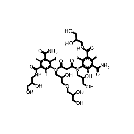 Cc1c(C(N)=O)c(I)c(N(CC(O)COCC(O)CO)C(=O)CC(=O)N(CC(O)CO)c2c(C)c(C(N)=O)c(I)c(C(=O)NCC(O)CO)c2I)c(I)c1C(=O)NCC(O)CO